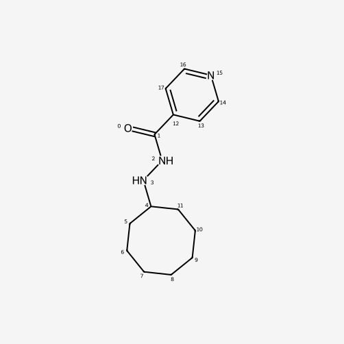 O=C(NNC1CCCCCCC1)c1ccncc1